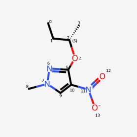 CC[C@H](C)Oc1nn(C)cc1[N+](=O)[O-]